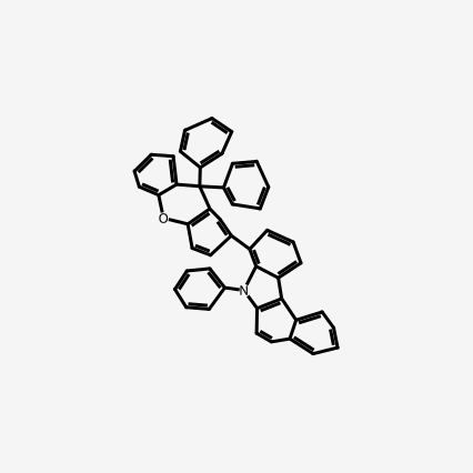 c1ccc(-n2c3ccc4ccccc4c3c3cccc(-c4ccc5c(c4)C(c4ccccc4)(c4ccccc4)c4ccccc4O5)c32)cc1